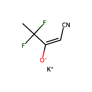 CC(F)(F)/C([O-])=C\C#N.[K+]